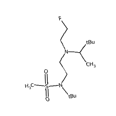 CC(N(CCF)CCN(C(C)(C)C)S(C)(=O)=O)C(C)(C)C